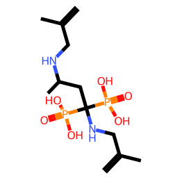 C=C(C)CNC(C)CC(NCC(=C)C)(P(=O)(O)O)P(=O)(O)O